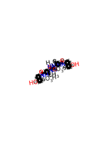 Cc1cc(C(=O)Nc2cccc3c(O)ccc(S(=O)(=O)O)c23)ccc1NC(=O)C(=O)Nc1ccc(C(=O)Nc2cccc3c(O)ccc(S(=O)(=O)O)c23)cc1C